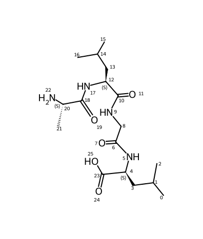 CC(C)C[C@H](NC(=O)CNC(=O)[C@H](CC(C)C)NC(=O)[C@H](C)N)C(=O)O